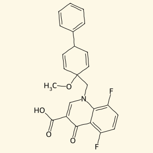 COC1(Cn2cc(C(=O)O)c(=O)c3c(F)ccc(F)c32)C=CC(c2ccccc2)C=C1